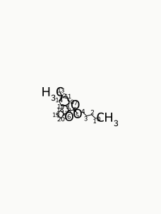 CCCCCOC(=O)C1(c2ccc(C)cc2)OC12CCC2